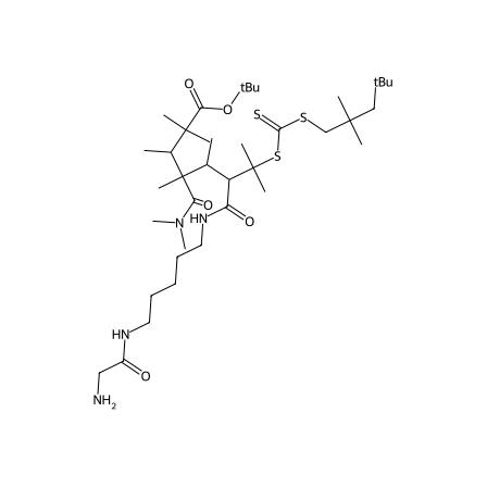 CC(C(C(=O)NCCCCCNC(=O)CN)C(C)(C)SC(=S)SCC(C)(C)CC(C)(C)C)C(C)(C(=O)N(C)C)C(C)C(C)(C)C(=O)OC(C)(C)C